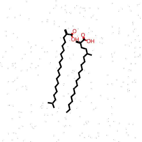 C=C(CCC(C)CCCCCCCCCCCCCCC)C(=O)O.C=C(CCCCCCCCCCCCCCCCC(C)C)C(=O)O